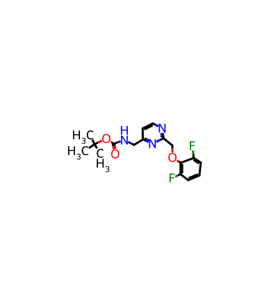 CC(C)(C)OC(=O)NCc1ccnc(COc2c(F)cccc2F)n1